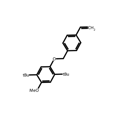 C=Cc1ccc(COc2cc(C(C)(C)C)c(OC)cc2C(C)(C)C)cc1